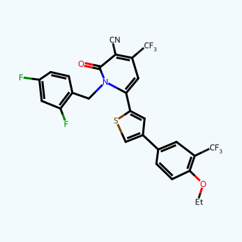 CCOc1ccc(-c2csc(-c3cc(C(F)(F)F)c(C#N)c(=O)n3Cc3ccc(F)cc3F)c2)cc1C(F)(F)F